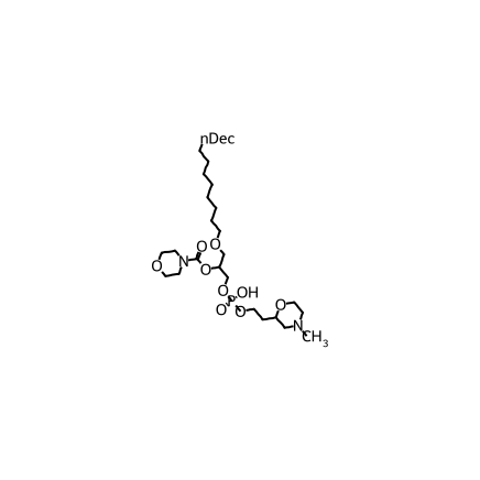 CCCCCCCCCCCCCCCCCCOCC(COP(=O)(O)OCCC1CN(C)CCO1)OC(=O)N1CCOCC1